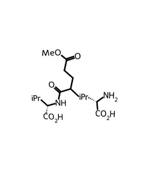 CC(C)[C@H](N)C(=O)O.COC(=O)CCC(C)C(=O)N[C@H](C(=O)O)C(C)C